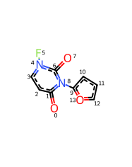 O=c1ccn(F)c(=O)n1-c1ccco1